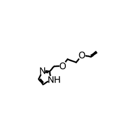 C=COCCOCc1ncc[nH]1